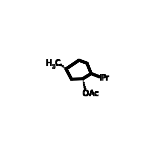 CC(=O)O[C@@H]1C[C@H](C)CCC1C(C)C